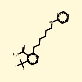 NC(=O)c1c([CH]CCCCCNc2ccccn2)cccc1C(F)(F)F